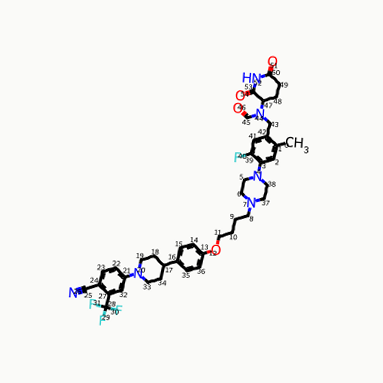 Cc1cc(N2CCN(CCCCOc3ccc(C4CCN(c5ccc(C#N)c(C(F)(F)F)c5)CC4)cc3)CC2)c(F)cc1CN(C=O)C1CCC(=O)NC1=O